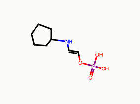 O=P(O)(O)OC=CNC1CCCCC1